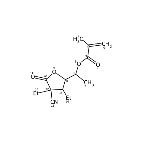 C=C(C)C(=O)OC(C)C1OC(=O)C(C#N)(CC)C1CC